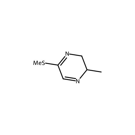 CSC1=NCC(C)N=C1